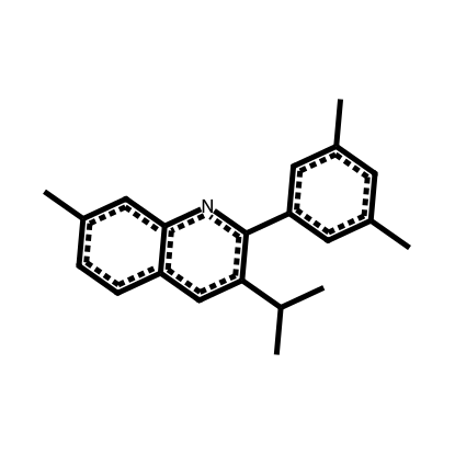 Cc1cc(C)cc(-c2nc3cc(C)ccc3cc2C(C)C)c1